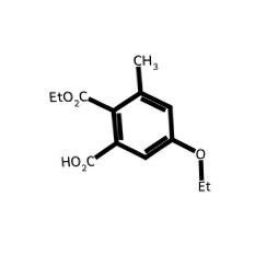 CCOC(=O)c1c(C)cc(OCC)cc1C(=O)O